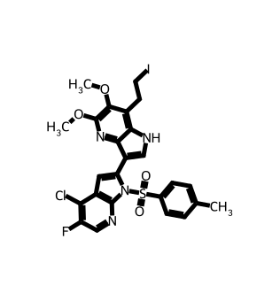 COc1nc2c(-c3cc4c(Cl)c(F)cnc4n3S(=O)(=O)c3ccc(C)cc3)c[nH]c2c(CCI)c1OC